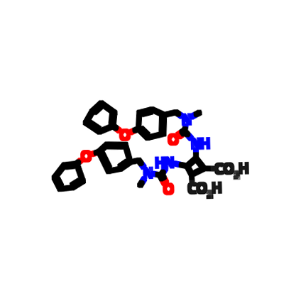 CN(Cc1ccc(Oc2ccccc2)cc1)C(=O)NC1C(NC(=O)N(C)Cc2ccc(Oc3ccccc3)cc2)C(C(=O)O)C1C(=O)O